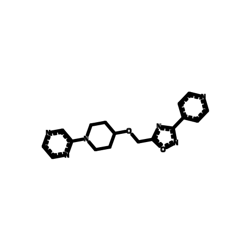 c1cc(-c2noc(COC3CCN(c4cnccn4)CC3)n2)ccn1